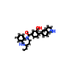 CCC1CCN(C(=O)c2ccc(-c3ccc4[nH]ccc4c3)c(O)c2)c2ccccc2N1